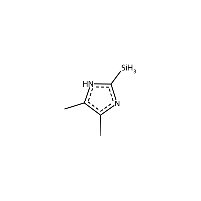 Cc1nc([SiH3])[nH]c1C